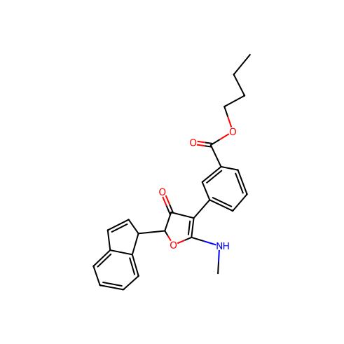 CCCCOC(=O)c1cccc(C2=C(NC)OC(C3C=Cc4ccccc43)C2=O)c1